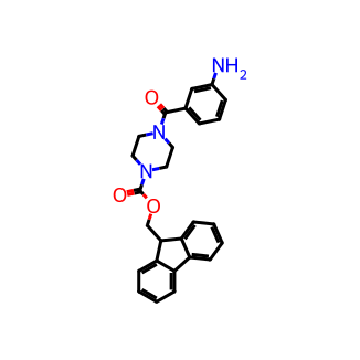 Nc1cccc(C(=O)N2CCN(C(=O)OCC3c4ccccc4-c4ccccc43)CC2)c1